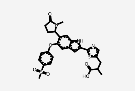 CC(Cc1cnc(-c2cc3cc(Oc4ccc(S(C)(=O)=O)cc4)c(C4CCC(=O)N4C)cc3[nH]2)s1)C(=O)O